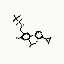 CC(C)(C)[Si](C)(C)OCc1cc(-n2cnc(C3CC3)c2)c(C(F)F)cc1F